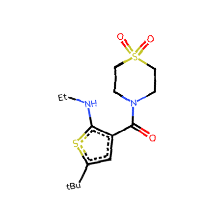 CCNc1sc(C(C)(C)C)cc1C(=O)N1CCS(=O)(=O)CC1